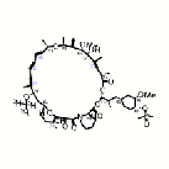 [2H]C([2H])([2H])O[C@H]1C[C@@H]2CC[C@@H](C)[C@@](O)(O2)C(=O)C(=O)N2CCCC[C@H]2C(=O)O[C@H]([C@H](C)C[C@@H]2CC[C@@H](OP(C)(C)=O)[C@H](OC)C2)CC(=O)[C@H](C)/C=C(\C)[C@@H](O)[C@@H](OC)C(=C)[C@H](C)C[C@H](C)/C=C/C=C/C=C/1C